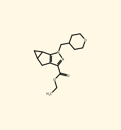 CCOC(=O)c1nn(CC2CCOCC2)c2c1CC1CC21